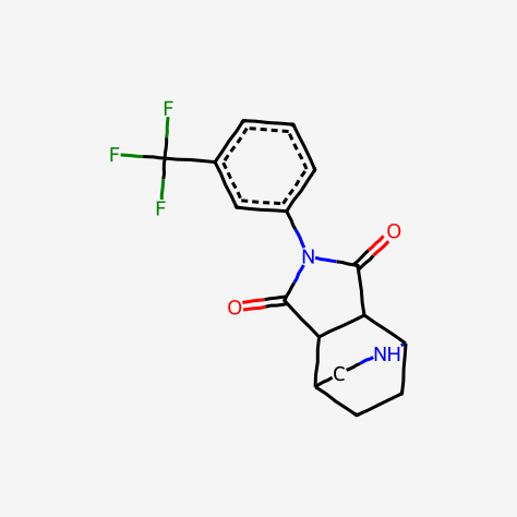 O=C1C2C3CCC(NC3)C2C(=O)N1c1cccc(C(F)(F)F)c1